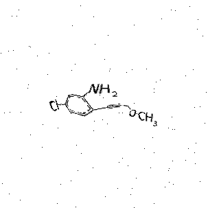 COCC#Cc1ccc(Cl)cc1N